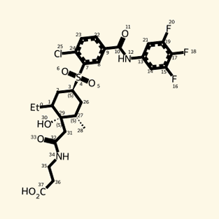 CCC1C[C@@H](S(=O)(=O)c2cc(C(=O)Nc3cc(F)c(F)c(F)c3)ccc2Cl)C[C@H](C)[C@@]1(O)CC(=O)NCCC(=O)O